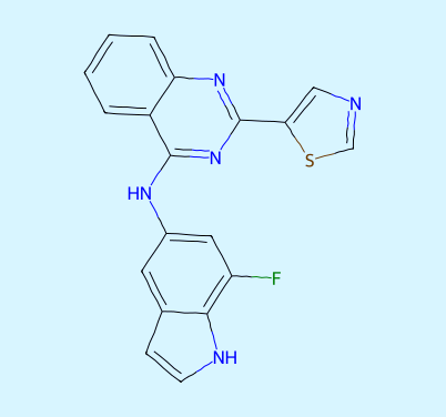 Fc1cc(Nc2nc(-c3cncs3)nc3ccccc23)cc2cc[nH]c12